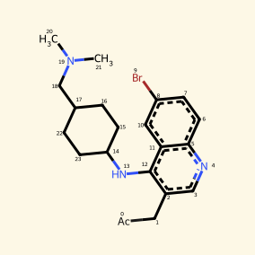 CC(=O)Cc1cnc2ccc(Br)cc2c1NC1CCC(CN(C)C)CC1